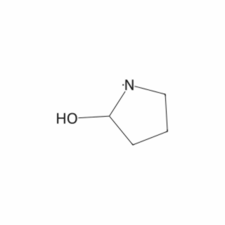 OC1CCC[N]1